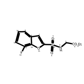 CCOC(=O)CNS(=O)(=O)c1cc2cccc(F)c2o1